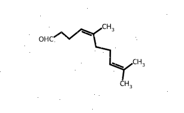 CC(C)=CCCC(C)=CCCC=O